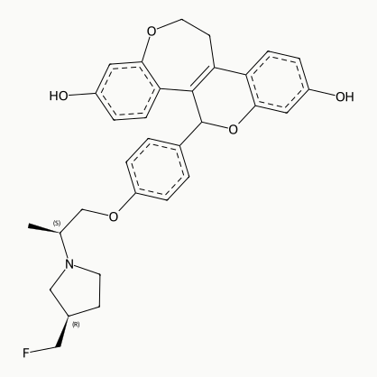 C[C@@H](COc1ccc(C2Oc3cc(O)ccc3C3=C2c2ccc(O)cc2OCC3)cc1)N1CC[C@@H](CF)C1